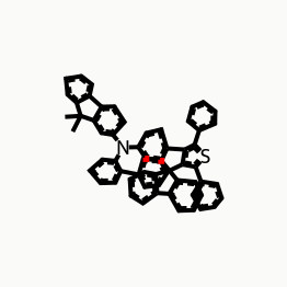 CC1(C)c2ccccc2-c2ccc(N(c3ccc4c(c3)C3(c5ccccc5-c5ccccc53)c3c(-c5ccccc5)sc(-c5ccccc5)c3-4)c3ccccc3-c3ccccc3)cc21